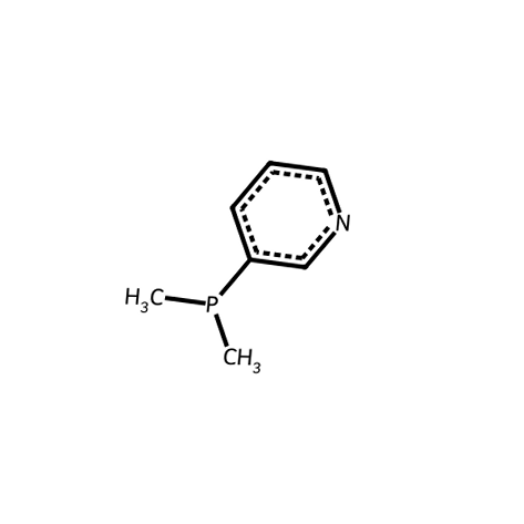 CP(C)c1cccnc1